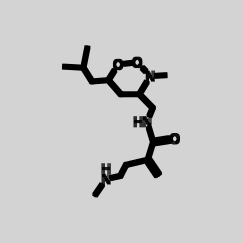 C=C(CCNC)C(=O)NCC1CC(CC(C)C)OON1C